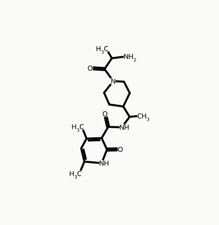 Cc1cc(C)c(C(=O)NC(C)C2CCN(C(=O)C(C)N)CC2)c(=O)[nH]1